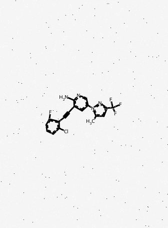 Cc1cc(C(F)(F)F)nn1-c1cnc(N)c(C#Cc2c(F)cccc2Cl)c1